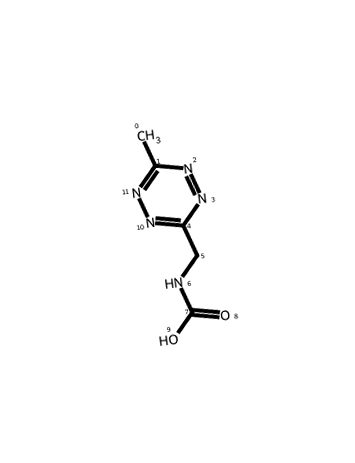 Cc1nnc(CNC(=O)O)nn1